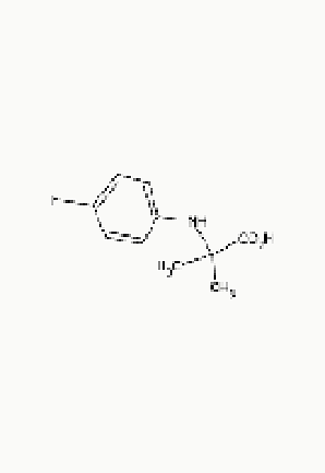 CC(C)(Nc1ccc(F)cc1)C(=O)O